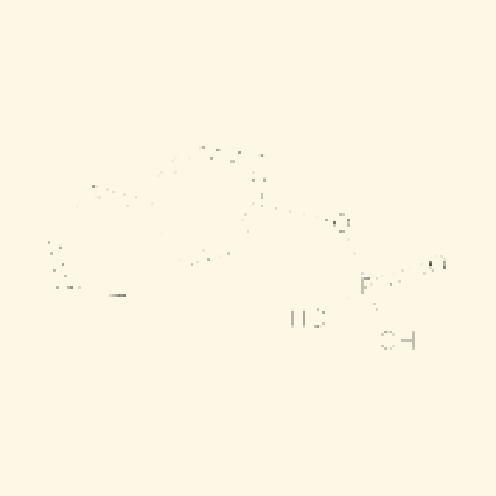 O=P(O)(O)Oc1ccc2cc[c]cc2c1